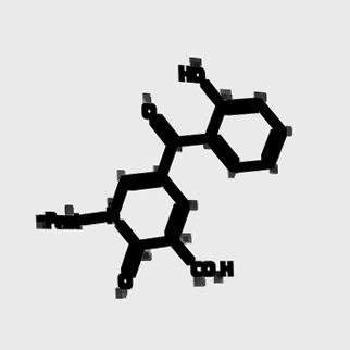 CCCCCn1cc(C(=O)c2ccccc2O)cc(C(=O)O)c1=O